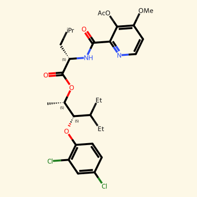 CCC(CC)[C@H](Oc1ccc(Cl)cc1Cl)[C@H](C)OC(=O)[C@H](CC(C)C)NC(=O)c1nccc(OC)c1OC(C)=O